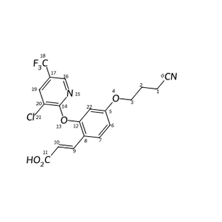 N#CCCCOc1ccc(C=CC(=O)O)c(Oc2ncc(C(F)(F)F)cc2Cl)c1